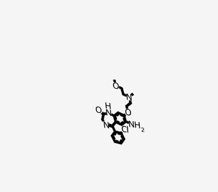 COCCN(C)CCOc1cc2c(cc1N)C(c1ccccc1Cl)=NCC(=O)N2